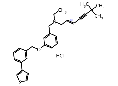 CCN(C/C=C/C#CC(C)(C)C)Cc1cccc(OCc2cccc(-c3ccsc3)c2)c1.Cl